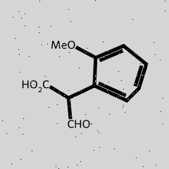 COc1ccccc1C([C]=O)C(=O)O